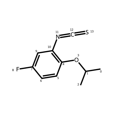 CC(C)Oc1ccc(F)cc1N=C=S